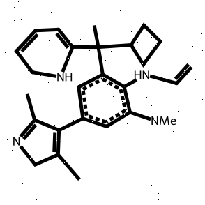 C=CNc1c(NC)cc(C2=C(C)CN=C2C)cc1C(C)(C1=CC=CCN1)C1CCC1